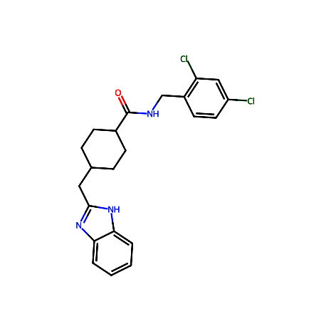 O=C(NCc1ccc(Cl)cc1Cl)C1CCC(Cc2nc3ccccc3[nH]2)CC1